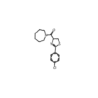 O=C(C1CSC(c2ccc(Cl)cc2)=N1)N1CCCCCC1